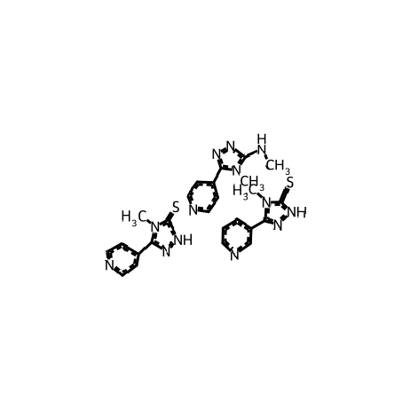 CNc1nnc(-c2ccncc2)n1C.Cn1c(-c2cccnc2)n[nH]c1=S.Cn1c(-c2ccncc2)n[nH]c1=S